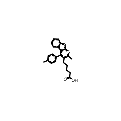 Cc1ccc(-c2c(CCCCC(=O)O)c(C)nc3sc4ccccc4c23)cc1